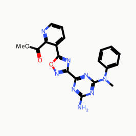 COC(=O)c1ncccc1-c1nc(-c2nc(N)nc(N(C)c3ccccc3)n2)no1